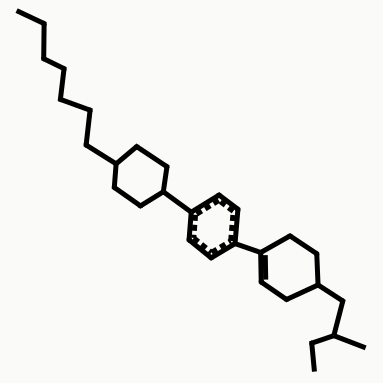 CCCCCCCC1CCC(c2ccc(C3=CCC(CC(C)CC)CC3)cc2)CC1